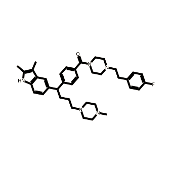 Cc1[nH]c2ccc(C(CCCN3CCN(C)CC3)c3ccc(C(=O)N4CCN(CCc5ccc(F)cc5)CC4)cc3)cc2c1C